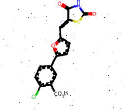 O=C1NC(=O)/C(=C/c2ccc(-c3ccc(Cl)c(C(=O)O)c3)o2)S1